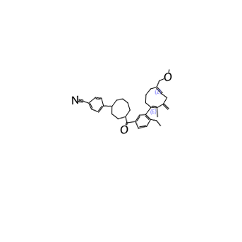 C=C1C/C=C(\COC)CCC/C(c2cc(C(=O)C3CCCCC(c4ccc(C#N)cc4)CC3)ccc2CC)=C\1C